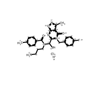 Cc1ccc(C(=O)N(CCCN)C(c2nc3onc(C)c3c(=O)n2Cc2ccc(F)cc2)C(C)C)cc1.[Cl-].[H+]